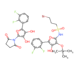 C[Si](C)(C)Oc1c(NS(=O)(=O)CCCBr)oc(-c2cccc(F)c2F)c1O.O=C1CCC(=O)N1c1oc(-c2cccc(F)c2F)c(O)c1O